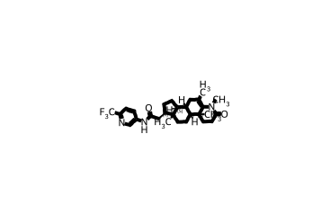 CC1=C2N(C)C(=O)CC[C@]2(C)[C@H]2CC[C@]3(C)[C@@H](CC(=O)Nc4ccc(C(F)(F)F)nc4)CC[C@H]3[C@@H]2C1